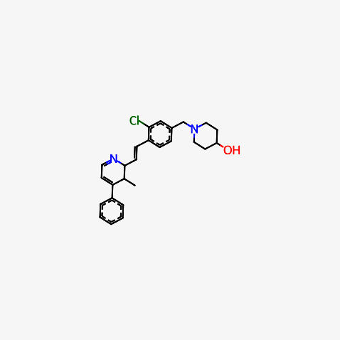 CC1C(c2ccccc2)=CC=NC1/C=C/c1ccc(CN2CCC(O)CC2)cc1Cl